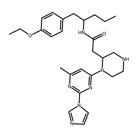 CCCC(Cc1ccc(OCC)cc1)NC(=O)CC1CNCCN1c1cc(C)nc(-n2ccnc2)n1